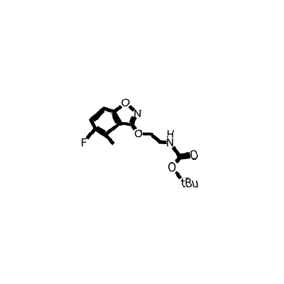 Cc1c(F)ccc2onc(OCCNC(=O)OC(C)(C)C)c12